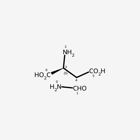 NC=O.N[C@@H](CC(=O)O)C(=O)O